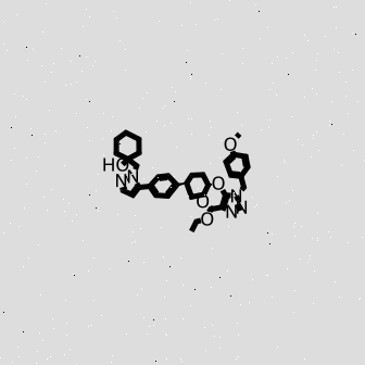 CCOC(=O)c1nnn(Cc2ccc(OC)cc2)c1O[C@H]1CC[C@H](c2ccc(-c3ccnn3CC3(O)CCCCC3)cc2)CC1